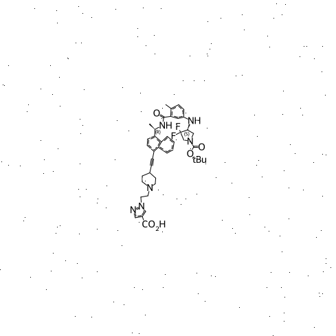 Cc1ccc(N[C@H]2CN(C(=O)OC(C)(C)C)CC2(F)F)cc1C(=O)N[C@H](C)c1ccc(C#CC2CCN(CCn3cc(C(=O)O)cn3)CC2)c2ccccc12